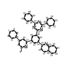 Cc1cc(-c2ccccc2)cc(-c2cc(-c3ccc4ccccc4n3)cc(-c3nc(-c4ccccc4)nc(-c4ccccc4)n3)c2)n1